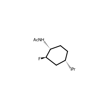 CC(=O)N[C@@H]1CC[C@H](C(C)C)C[C@H]1F